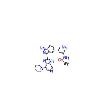 CC(C)C(=O)NC1=CC(c2ccc3[nH]nc(-c4nc5c(N6CCCCC6)cncc5[nH]4)c3c2)=CNC1